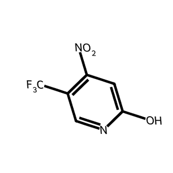 O=[N+]([O-])c1cc(O)ncc1C(F)(F)F